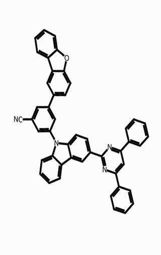 N#Cc1cc(-c2ccc3oc4ccccc4c3c2)cc(-n2c3ccccc3c3cc(-c4nc(-c5ccccc5)cc(-c5ccccc5)n4)ccc32)c1